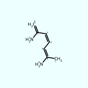 C=C(N)/C=C\C=C(/C)N